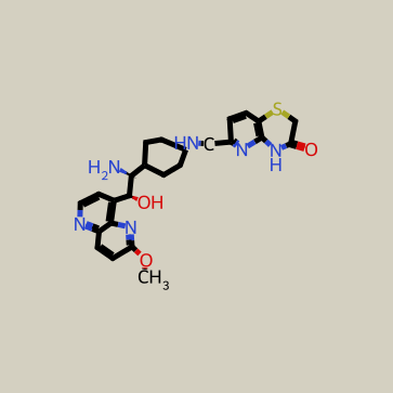 COc1ccc2nccc([C@H](O)[C@@H](N)C3CCC(NCc4ccc5c(n4)NC(=O)CS5)CC3)c2n1